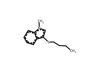 CCCCSc1cn(C)c2ccccc12